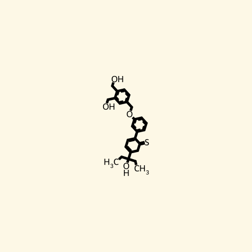 CCC(O)(CC)C1=CC=C(c2cccc(OCc3ccc(CO)c(CO)c3)c2)C(=S)C1